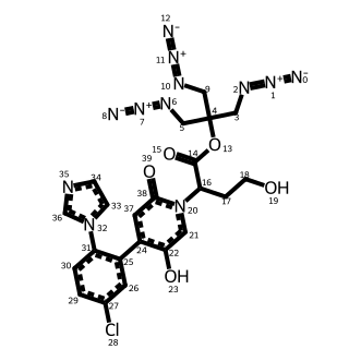 [N-]=[N+]=NCC(CN=[N+]=[N-])(CN=[N+]=[N-])OC(=O)C(CCO)n1cc(O)c(-c2cc(Cl)ccc2-n2ccnc2)cc1=O